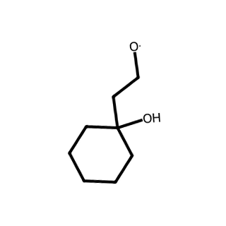 [O]CCC1(O)CCCCC1